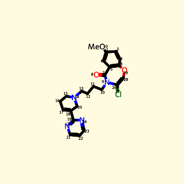 COc1ccc2c(c1)C(=O)N(CCCCN1CCC=C(c3ncccn3)C1)C(Cl)=CO2